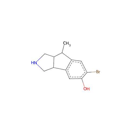 CC1c2cc(Br)c(O)cc2C2CNCC12